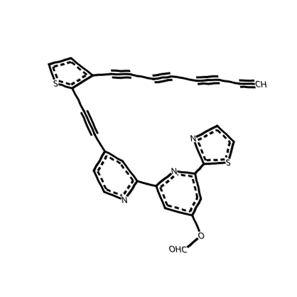 C#CC#CC#CC#Cc1ccsc1C#Cc1ccnc(-c2cc(OC=O)cc(-c3nccs3)n2)c1